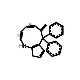 C=C1/C=C\C=C/NC2=C(C=CC2)C1(c1ccccc1)c1ccccc1